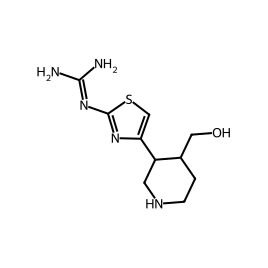 NC(N)=Nc1nc(C2CNCCC2CO)cs1